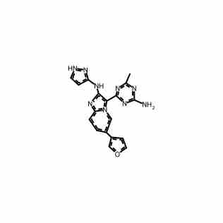 Cc1nc(N)nc(-c2c(Nc3cc[nH]n3)nc3ccc(-c4ccoc4)cn23)n1